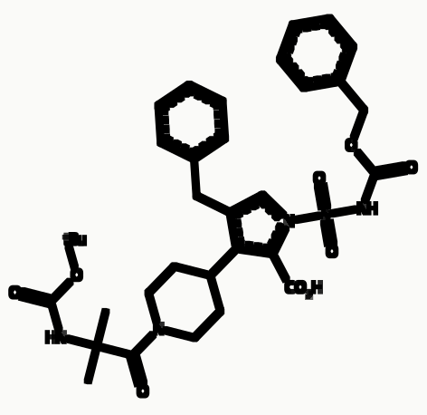 CC(C)(C)OC(=O)NC(C)(C)C(=O)N1CCC(c2c(Cc3ccccc3)cn(S(=O)(=O)NC(=O)OCc3ccccc3)c2C(=O)O)CC1